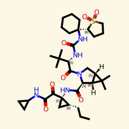 CCC[C@@H]1C[C@@]1(NC(=O)[C@@H]1[C@@H]2[C@H](CN1C(=O)[C@@H](NC(=O)NC1([C@H]3CCCS3(=O)=O)CCCCC1)C(C)(C)C)C2(C)C)C(=O)C(=O)NC1CC1